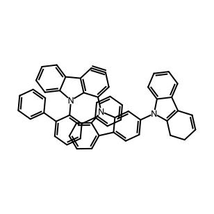 c1cc(-n2c3ccccc3c3ccc(-n4c5c(c6ccccc64)C=CCC5)cc32)c2c(c#1)c1ccccc1n2-c1c(-c2ccccc2)cccc1-c1ccccc1